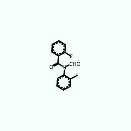 O=[C]N(C(=O)c1ccccc1F)c1ccccc1F